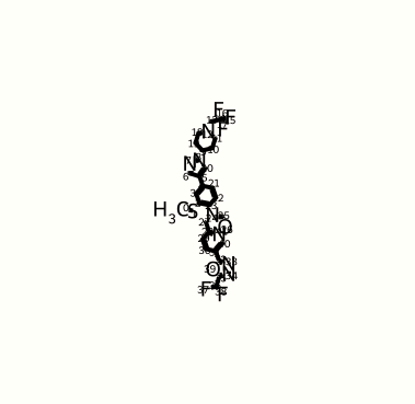 CSc1cc(-c2cnn(C3CCN(CC(F)(F)F)CC3)c2)ccc1N(C=O)Cc1ccc(-c2nnc(C(F)F)o2)cn1